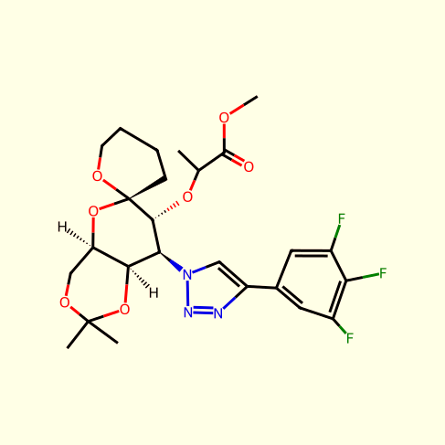 COC(=O)C(C)O[C@@H]1[C@@H](n2cc(-c3cc(F)c(F)c(F)c3)nn2)[C@H]2OC(C)(C)OC[C@H]2O[C@@]12CCCCO2